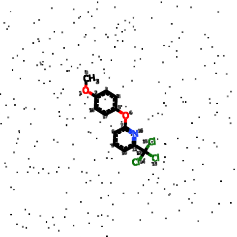 COc1ccc(Oc2cccc(C(Cl)(Cl)Cl)n2)cc1